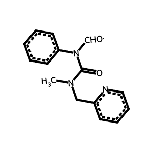 CN(Cc1ccccn1)C(=O)N([C]=O)c1ccccc1